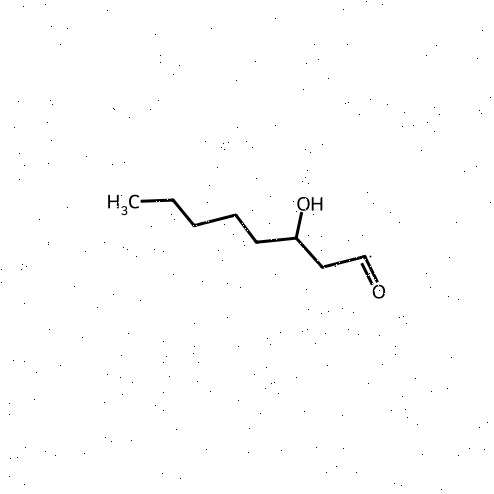 CCCCCC(O)C[C]=O